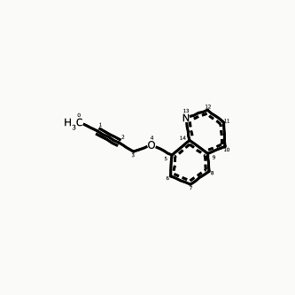 CC#CCOc1cccc2cccnc12